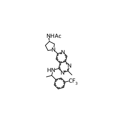 CC(=O)N[C@@H]1CCN(c2cc3c(NC(C)c4cccc(C(F)(F)F)c4)nc(C)nc3cn2)C1